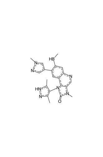 CBc1cc2ncc3c(c2cc1-c1cnn(C)c1)n(-c1c(C)n[nH]c1C)c(=O)n3C